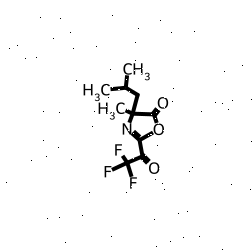 CC(C)CC1(C)N=C(C(=O)C(F)(F)F)OC1=O